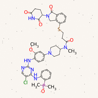 COc1cc(N2CCC(N(C)C(=O)CCSc3cccc4c3CN(C3CCC(=O)NC3=O)C4=O)CC2)ccc1Nc1ncc(Cl)c(Nc2ccccc2P(C)(C)=O)n1